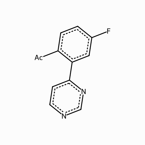 CC(=O)c1ccc(F)cc1-c1ccncn1